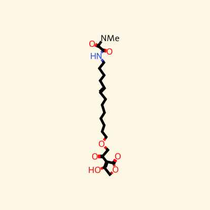 CNC(=O)C(=O)NCCCCC=CCCCCCCCOCC(=O)C1=C(O)COC1=O